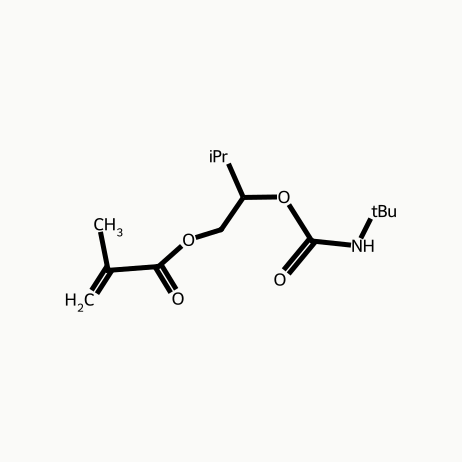 C=C(C)C(=O)OCC(OC(=O)NC(C)(C)C)C(C)C